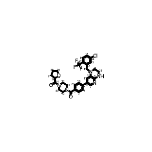 O=C(c1ccc(-c2cnc3c(c2)N(Cc2cc(Cl)ccc2C(F)(F)F)CCN3)cc1)N1CCN(C(=O)C2CCCO2)CC1